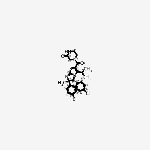 CC(C)C1=C(C(=O)N2CCNC(=O)C2)SC2=N[C@@](C)(c3ccc(Cl)cc3)[C@@H](c3ccc(Cl)cc3)N21